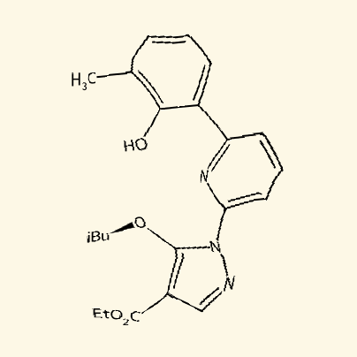 CCOC(=O)c1cnn(-c2cccc(-c3cccc(C)c3O)n2)c1O[C@H](C)CC